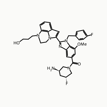 COc1cc(C(=O)N2C[C@H](N)C[C@@H](F)C2)cc2nc(-c3cc4cccc5c4n3CCN5CCCO)n(Cc3ccc(F)cc3)c12